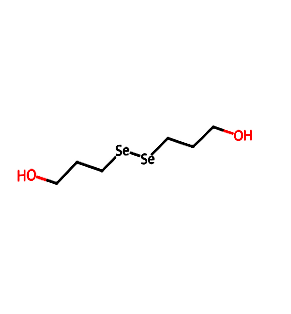 OCCC[Se][Se]CCCO